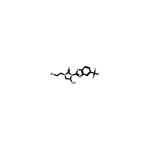 O=C1N(CCBr)CC(O)N1c1nc2cc(C(F)(F)F)ccc2s1